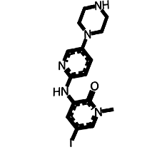 Cn1cc(I)cc(Nc2ccc(N3CCNCC3)cn2)c1=O